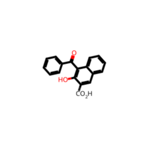 O=C(O)c1cc2ccccc2c(C(=O)c2ccccc2)c1O